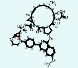 COc1ccc2c(O[C@@H]3C[C@H]4C(=O)N[C@]5(C(=O)NS(=O)(=O)C6CC6)C[C@H]5/C=C\CC[C@H](C)C[C@@H](C)[C@H](NC(=O)O)C(=O)N4C3)nc(-c3ccc(N4CCOCC4)cc3)cc2c1